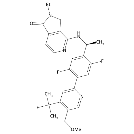 CCN1Cc2c(ccnc2N[C@@H](C)c2cc(F)c(-c3cc(C(C)(C)F)c(COC)cn3)cc2F)C1=O